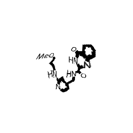 COCCCNc1cc(CNC(=O)c2nc3ccccc3c(=O)[nH]2)ccn1